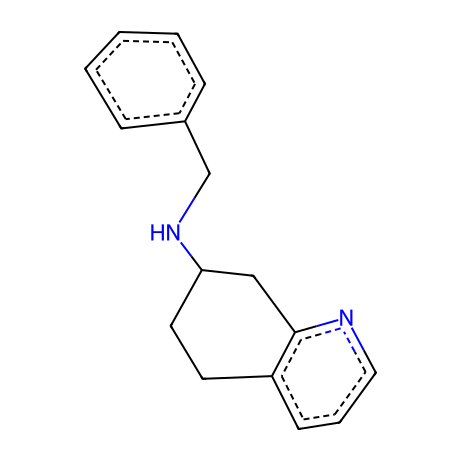 c1ccc(CNC2CCc3cccnc3C2)cc1